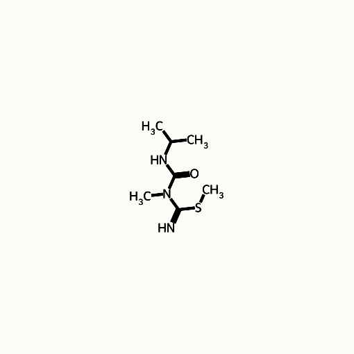 CSC(=N)N(C)C(=O)NC(C)C